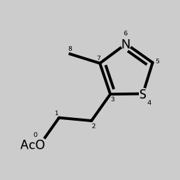 [CH2]C(=O)OCCc1scnc1C